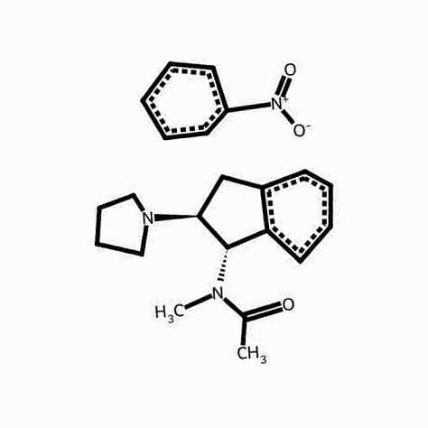 CC(=O)N(C)[C@H]1c2ccccc2C[C@@H]1N1CCCC1.O=[N+]([O-])c1ccccc1